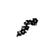 CC(Cc1c[nH]c2ccccc12)NC(=O)c1nnc(N2CCN(CC(F)F)CC2)[nH]1